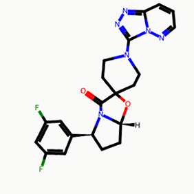 O=C1N2[C@@H](CC[C@H]2c2cc(F)cc(F)c2)OC12CCN(c1nnc3cccnn13)CC2